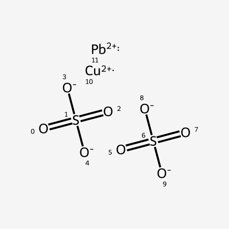 O=S(=O)([O-])[O-].O=S(=O)([O-])[O-].[Cu+2].[Pb+2]